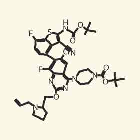 C=CCN1CCCC1COc1nc(N2CCN(C(=O)OC(C)(C)C)CC2)c2cc(Cl)c(-c3ccc(F)c4sc(NC(=O)OC(C)(C)C)c(C#N)c34)c(F)c2n1